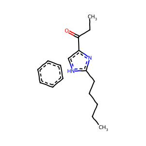 CCCCCc1nc(C(=O)CC)c[nH]1.c1ccccc1